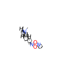 C[C@H]1[C@H]2CC[C@H]3[C@@H]4CC=C5C[C@@H](N(C)C(=O)Oc6ccccn6)CC[C@]5(C)[C@H]4CCC23CN1C